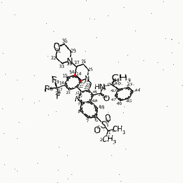 CC(C)S(=O)(=O)c1ccc2nc(-c3cccc(C(F)(F)F)c3)c(CN3CCC(N4CCOCC4)CC3)c(C(=O)N[C@@H](C)c3ccccc3)c2c1